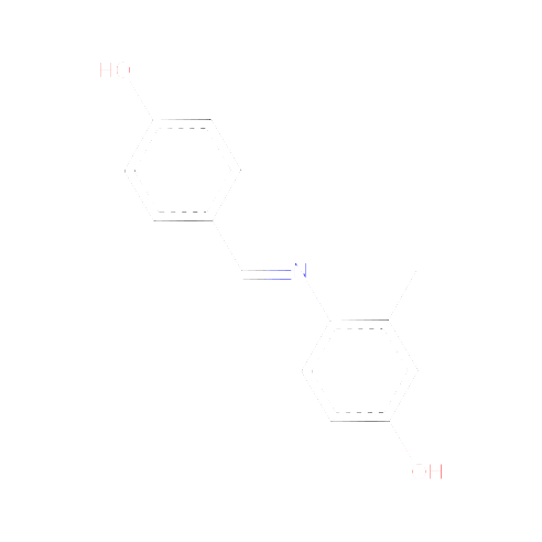 Cc1cc(O)ccc1N=Cc1ccc(O)cc1